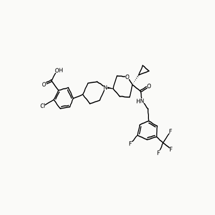 O=C(O)c1cc(C2CCN([C@@H]3CC[C@@](C(=O)NCc4cc(F)cc(C(F)(F)F)c4)(C4CC4)OC3)CC2)ccc1Cl